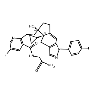 NC(=O)CNC(=O)c1cc(F)cnc1CC[C@]1(O)CCC2=Cc3c(cnn3-c3ccc(F)cc3)C[C@@]21C1CC1